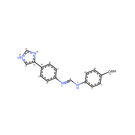 COc1ccc(NC=Nc2ccc(-c3c[nH]cn3)cc2)cc1